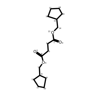 O=C(CCC(=O)OCC1CCCC1)OCC1CCCC1